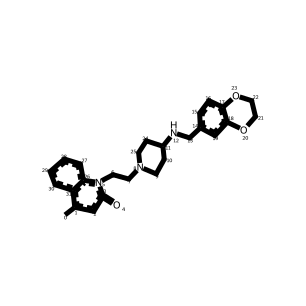 Cc1cc(=O)n(CCN2CCC(NCc3ccc4c(c3)OCCO4)CC2)c2ccccc12